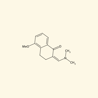 COc1cccc2c1CC/C(=C/N(C)C)C2=O